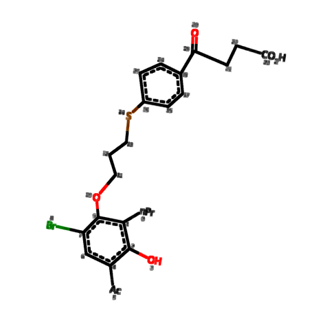 CCCc1c(O)c(C(C)=O)cc(Br)c1OCCCSc1ccc(C(=O)CCC(=O)O)cc1